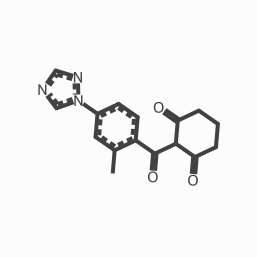 Cc1cc(-n2cncn2)ccc1C(=O)C1C(=O)CCCC1=O